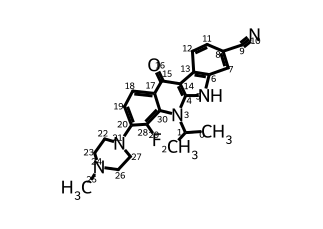 CC(C)n1c2[nH]c3cc(C#N)ccc3c2c(=O)c2ccc(N3CCN(C)CC3)c(F)c21